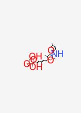 CC(/C=C/[C@H]1O[C@](C)(O)C[C@@]2(CO2)[C@@H]1O)=C\C[C@@H]1O[C@H](C)[C@H](NC(=O)/C=C\C(C)C)C[C@@H]1C